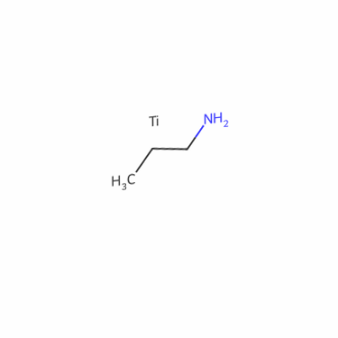 CCCN.[Ti]